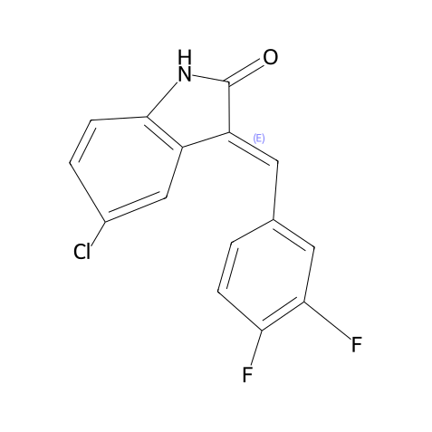 O=C1Nc2ccc(Cl)cc2/C1=C\c1ccc(F)c(F)c1